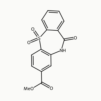 COC(=O)c1ccc2c(c1)NC(=O)c1ccccc1S2(=O)=O